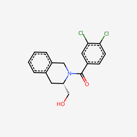 O=C(c1ccc(Cl)c(Cl)c1)N1Cc2ccccc2C[C@H]1CO